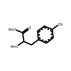 COC(=O)C(Cc1ccc(C#N)cc1)OC